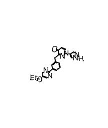 CCOc1cnc(-c2cccc(Cc3nn(-c4cn[nH]c4)ccc3=O)c2)nc1